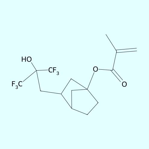 C=C(C)C(=O)OC12CCC(C1)C(CC(O)(C(F)(F)F)C(F)(F)F)C2